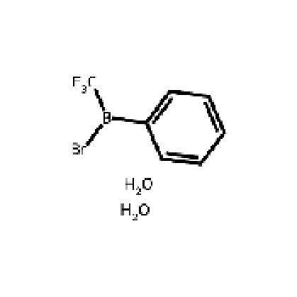 FC(F)(F)B(Br)c1ccccc1.O.O